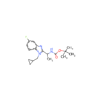 CC(NC(=O)OC(C)(C)C)c1nc2cc(F)ccc2n1CC1CC1